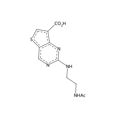 CC(=O)NCCNc1ncc2scc(C(=O)O)c2n1